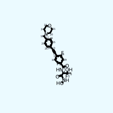 C[C@@](O)(F)[C@H](NC(=O)c1ccc(C#Cc2ccc(CN3CCOCC3)cc2)c(F)c1)C(=O)NO